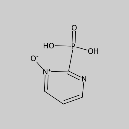 O=P(O)(O)c1nccc[n+]1[O-]